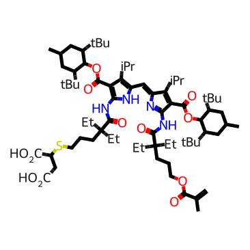 C=C(C)C(=O)OCCCC(CC)(CC)C(=O)NC1=N/C(=C\c2[nH]c(NC(=O)C(CC)(CC)CCCSC(CC(=O)O)C(=O)O)c(C(=O)OC3C(C(C)(C)C)CC(C)CC3C(C)(C)C)c2C(C)C)C(C(C)C)=C1C(=O)OC1C(C(C)(C)C)CC(C)CC1C(C)(C)C